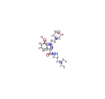 CCN(CC)CCCNC(=O)c1nn(CCN2CCOCC2)c2c(OC)cccc12